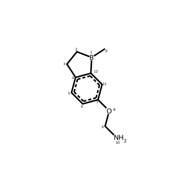 CB1CCc2ccc(OCN)cc21